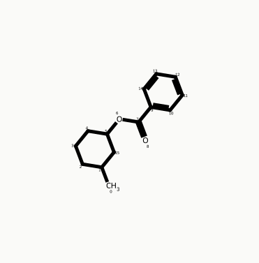 CC1CCCC(OC(=O)c2ccccc2)C1